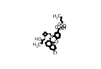 C=CCCS(=O)(=O)NC(=O)c1ccc2c(c1)N(C[C@@H]1CC[C@H]1CC(O)C=C)C[C@@]1(CCCc3cc(Cl)ccc31)CO2